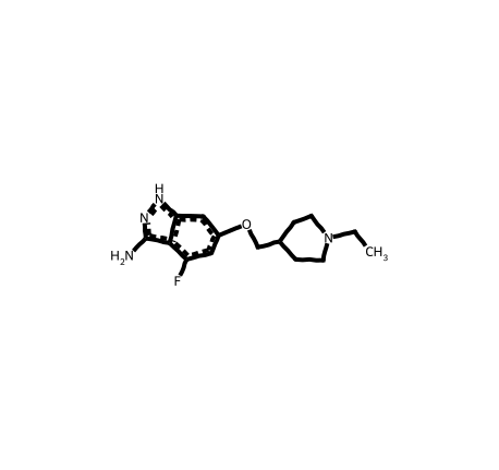 CCN1CCC(COc2cc(F)c3c(N)n[nH]c3c2)CC1